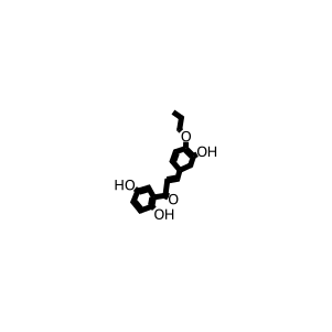 CCCOC1=C(O)CC(C=CC(=O)c2cc(O)ccc2O)C=C1